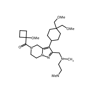 CNCCN(C)Cc1nn2c(c1C1CCC(COC)(COC)CC1)CN(C(=O)C1(OC)CCC1)CC2